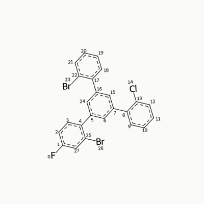 Fc1ccc(-c2cc(-c3ccccc3Cl)cc(-c3ccccc3Br)c2)c(Br)c1